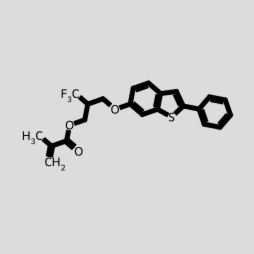 C=C(C)C(=O)OCC(COc1ccc2cc(-c3ccccc3)sc2c1)C(F)(F)F